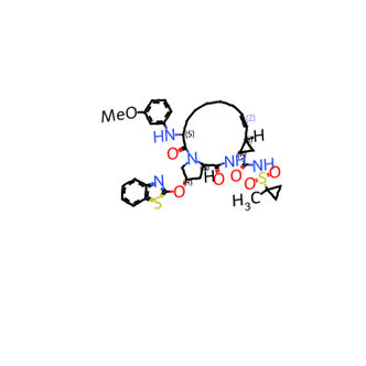 COc1cccc(N[C@H]2CCCCC/C=C\[C@@H]3C[C@@]3(C(=O)NS(=O)(=O)C3(C)CC3)NC(=O)[C@@H]3C[C@@H](Oc4nc5ccccc5s4)CN3C2=O)c1